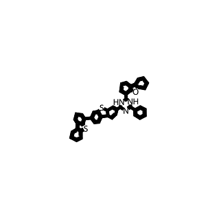 C1=CC2c3ccc(-c4cccc5c4sc4ccccc45)cc3SC2C=C1C1N=C(c2ccccc2)NC(c2cccc3c2oc2ccccc23)N1